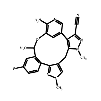 CC1Oc2cc(cnc2N)-c2c(C#N)nn(C)c2Cc2cn(C)nc2-c2ccc(F)cc21